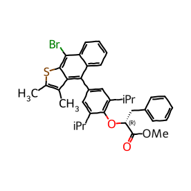 COC(=O)[C@@H](Cc1ccccc1)Oc1c(C(C)C)cc(-c2c3ccccc3c(Br)c3sc(C)c(C)c23)cc1C(C)C